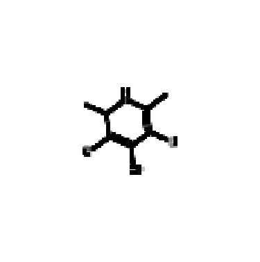 CC1=C(Cl)C(O)=C(Cl)C(C)N1